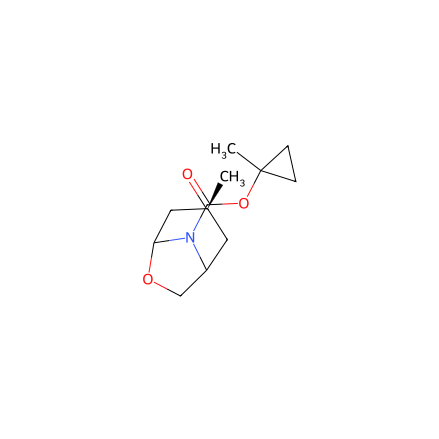 C[C@H]1CC2COC(C1)N2C(=O)OC1(C)CC1